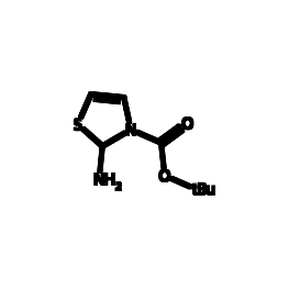 CC(C)(C)OC(=O)N1C=CSC1N